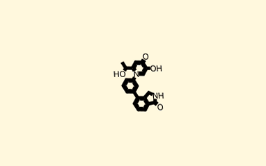 CC(O)c1cc(=O)c(O)cn1-c1cccc(-c2cccc3c2CNC3=O)c1